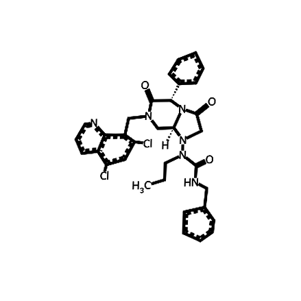 CCCN(C(=O)NCc1ccccc1)N1CC(=O)N2[C@@H](c3ccccc3)C(=O)N(Cc3c(Cl)cc(Cl)c4cccnc34)C[C@@H]21